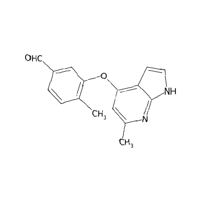 Cc1cc(Oc2cc(C=O)ccc2C)c2cc[nH]c2n1